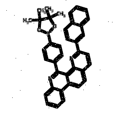 CC1(C)OB(c2ccc(-c3nc4ccccc4c4ccc5ccc(-c6ccc7ccccc7c6)nc5c34)cc2)OC1(C)C